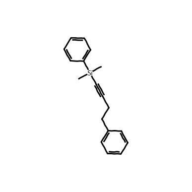 C[Si](C)(C#CCCc1ccccc1)c1ccccc1